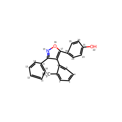 Cc1ccccc1-c1c(-c2ccccc2)noc1-c1ccc(O)cc1